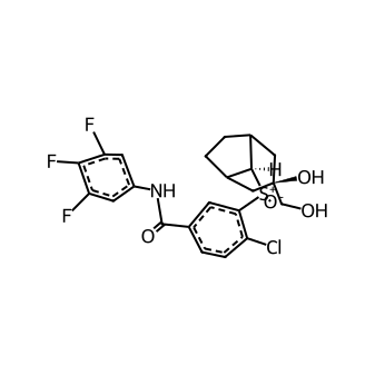 O=C(Nc1cc(F)c(F)c(F)c1)c1ccc(Cl)c([S+]([O-])[C@H]2C3CCC2C[C@](O)(CO)C3)c1